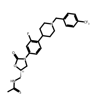 CC(=S)NC[C@H]1CN(c2ccc(C3CCN(Cc4ccc(C(F)(F)F)cc4)CC3)c(F)c2)C(=O)O1